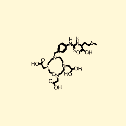 CSCCC(NC(=S)Nc1ccc(CN2CCN(CC(=O)O)CCN(CC(=O)O)CCN(CC(O)O)CC2)cc1)C(=O)O